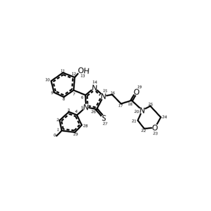 Cc1ccc(-n2c(-c3ccccc3O)nn(CCC(=O)N3CCOCC3)c2=S)cc1